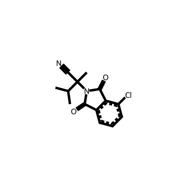 CC(C)C(C)(C#N)N1C(=O)c2cccc(Cl)c2C1=O